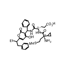 CCC(Cc1ccccc1)c1cc(O)c(C(NC(=O)[C@H](CCC(=O)O)NC(=O)[C@@](N)(CCSC)C2CC2)c2ccccc2)c(=O)o1